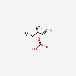 C=CC(=C)CC.O=C(O)O